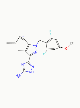 C=C/C=C\c1c(C)c(-c2n[nH]c(N)n2)nn1Cc1c(F)cc(OCC)cc1F